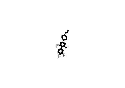 CCC[C@H]1CC[C@H](c2cc(F)c(-c3ccc(F)c(F)c3)c(F)c2)CC1